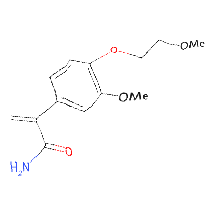 C=C(C(N)=O)c1ccc(OCCOC)c(OC)c1